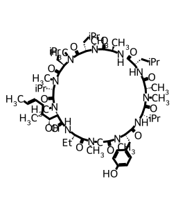 C/C=C/C[C@@H](C)[C@@H](O)[C@H]1C(=O)N[C@@H](CC)C(=O)N(C)CC(=O)N(C)[C@@H](Cc2ccc(O)cc2)C(=O)N[C@@H](C(C)C)C(=O)N(C)[C@@H](C)C(=O)N[C@@H](CC(C)C)C(=O)N[C@H](C)C(=O)N(C)[C@@H](CC(C)C)C(=O)N(C)[C@H](CC(C)C)C(=O)N(C)[C@@H](C(C)C)C(=O)N1C